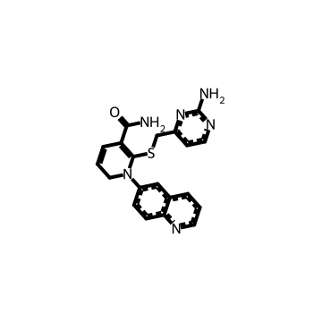 NC(=O)C1=C(SCc2ccnc(N)n2)N(c2ccc3ncccc3c2)CC=C1